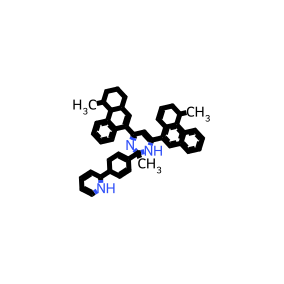 CC1CC=Cc2c(C3=CC(C4=CC5CCCC(C)C5c5ccccc54)=NC(C)(C4=CCC(C5C=CC=CN5)C=C4)N3)cc3ccccc3c21